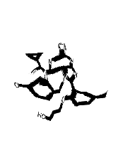 Cc1ccc(OCCCO)c(-c2nc3nc(Cl)nc(NC(C)C4CC4)c3n2Cc2ccc(Cl)cc2)c1